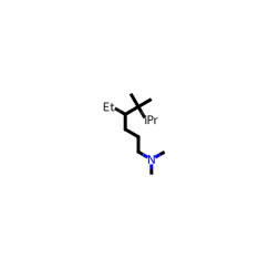 CCC(CCCN(C)C)C(C)(C)C(C)C